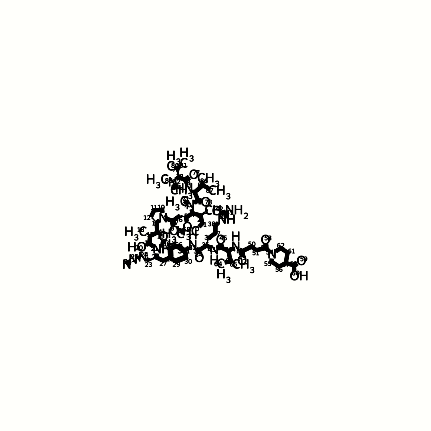 CC[C@H](C)C([C@@H](CC(=O)N1CCC[C@H]1[C@H](OC)[C@@H](C)C(O)N[C@H](CN=[N+]=[N-])Cc1ccc(NC(=O)[C@H](CCCNC(N)=O)NC(=O)[C@@H](NC(=O)CCC(=O)N2CCC(C(=O)O)CC2)C(C)C)cc1)OC)N(C)C(=O)[C@@H](NC(=O)[C@H](C(C)C)N(C)C)C(C)C